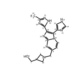 OCC1CN(Cc2ccn3c(-c4c[nH]cn4)c(-c4nc(C(F)(F)F)n[nH]4)nc3n2)C1